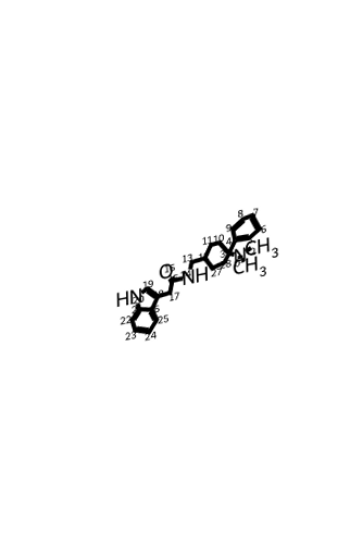 CN(C)C1(c2ccccc2)CCC(CNC(=O)Cc2c[nH]c3ccccc23)CC1